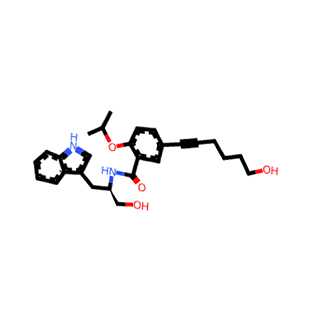 CC(C)Oc1ccc(C#CCCCCO)cc1C(=O)N[C@@H](CO)Cc1c[nH]c2ccccc12